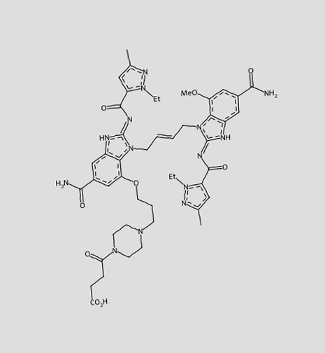 CCn1nc(C)cc1C(=O)/N=c1\[nH]c2cc(C(N)=O)cc(OC)c2n1C/C=C/Cn1/c(=N/C(=O)c2cc(C)nn2CC)[nH]c2cc(C(N)=O)cc(OCCCN3CCN(C(=O)CCC(=O)O)CC3)c21